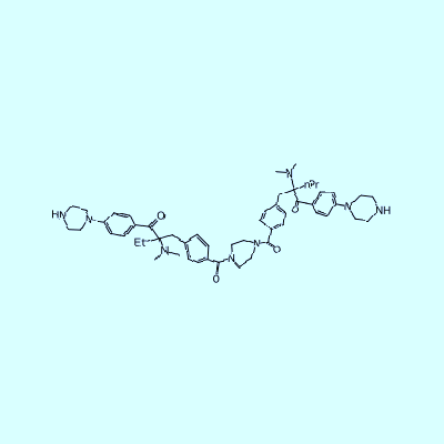 CCCC(Cc1ccc(C(=O)N2CCN(C(=O)c3ccc(CC(CC)(C(=O)c4ccc(N5CCNCC5)cc4)N(C)C)cc3)CC2)cc1)(C(=O)c1ccc(N2CCNCC2)cc1)N(C)C